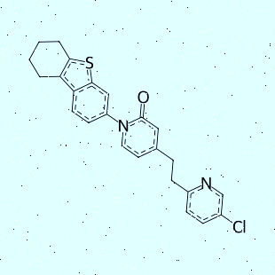 O=c1cc(CCc2ccc(Cl)cn2)ccn1-c1ccc2c3c(sc2c1)CCCC3